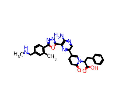 CNCc1ccc(-c2nnc(-c3nc(-c4ccc(=O)n(C(Cc5ccccc5)C(=O)O)c4)cnc3N)o2)c(C)c1